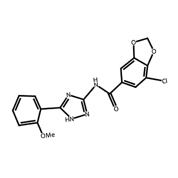 COc1ccccc1-c1nc(NC(=O)c2cc(Cl)c3c(c2)OCO3)n[nH]1